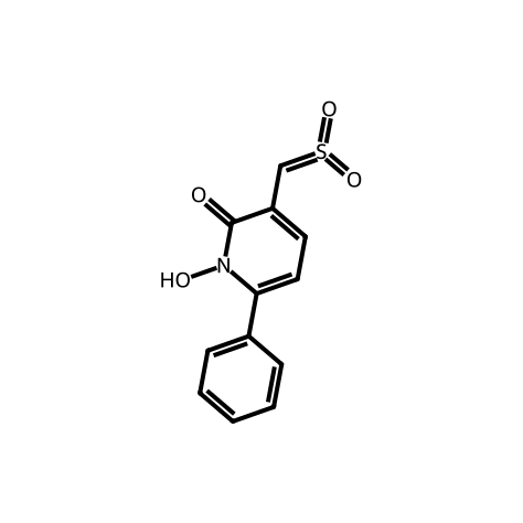 O=c1c(C=S(=O)=O)ccc(-c2ccccc2)n1O